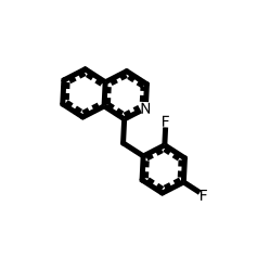 Fc1ccc(Cc2nccc3ccccc23)c(F)c1